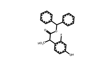 O=C(O)C(C(=O)OC(c1ccccc1)c1ccccc1)c1ccc(O)cc1F